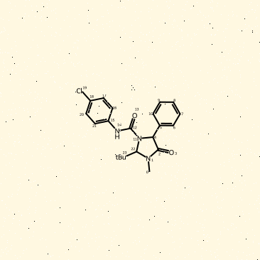 CN1C(=O)C(c2ccccc2)N(C(=O)Nc2ccc(Cl)cc2)C1C(C)(C)C